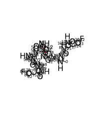 C[C@@H]1CN(CC(=O)N2CC(C)(C)c3[nH]c(=O)c(Cc4ccc(F)cc4)cc32)[C@@H](CN2CCOC(C(N)=O)C2Cc2cccc(CC3C(C(N)=O)OCCN3C[C@H]3CN[C@H](C)CN3CC(=O)N3CC(C)(C)c4[nH]c(=O)c(Cc5ccc(F)cc5)cc43)c2)CN1